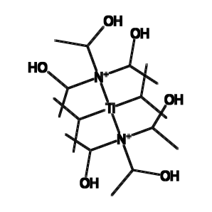 CC(O)[N+](C(C)O)(C(C)O)[Ti]([CH](C)C)([CH](C)C)[N+](C(C)O)(C(C)O)C(C)O